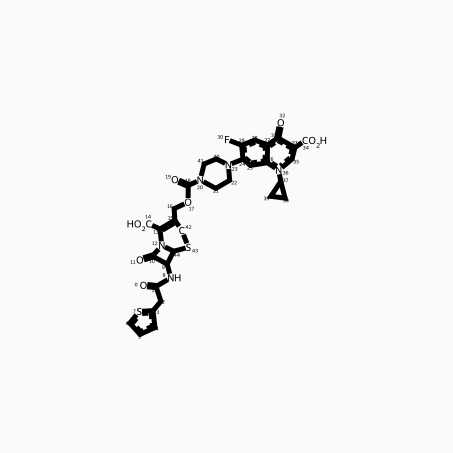 O=C(Cc1cccs1)NC1C(=O)N2C(C(=O)O)=C(COC(=O)N3CCN(c4cc5c(cc4F)c(=O)c(C(=O)O)cn5C4CC4)CC3)CSC12